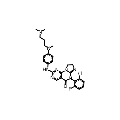 CN(C)CCCN(C)c1ccc(Nc2ncc3c(n2)N2CCN=C2N(c2c(F)cccc2Cl)C3=O)cc1